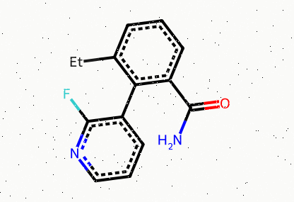 CCc1cccc(C(N)=O)c1-c1cccnc1F